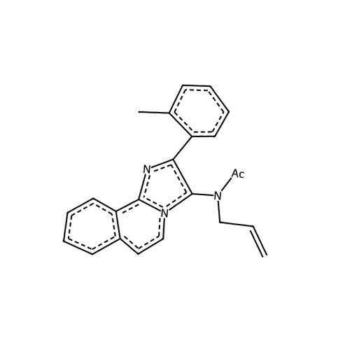 C=CCN(C(C)=O)c1c(-c2ccccc2C)nc2c3ccccc3ccn12